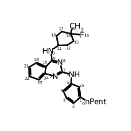 CCCCCc1cccc(Nc2nc(NC3CCC(C)(F)CC3)c3ccccc3n2)c1